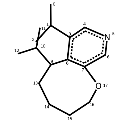 CC(C)c1cncc2c1C(C(C)C)CCCCO2